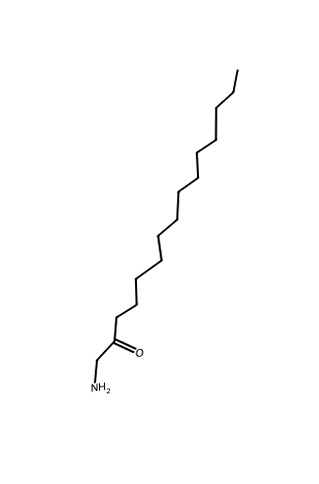 CCCCCCCCCCCCCC(=O)CN